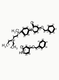 CCN(CC)CCN(C)c1ccc(-n2ccc(OCc3ccccc3)cc2=O)cc1.O=c1cc(OCc2ccccc2)cc[nH]1